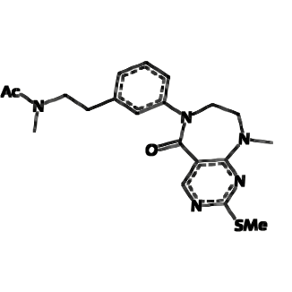 CSc1ncc2c(n1)N(C)CCN(c1cccc(CCN(C)C(C)=O)c1)C2=O